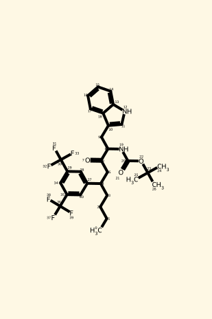 CCCCC(CC(=O)C(Cc1c[nH]c2ccccc12)NC(=O)OC(C)(C)C)c1cc(C(F)(F)F)cc(C(F)(F)F)c1